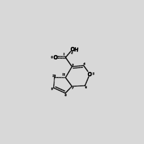 O=C(O)C1=COCC2C=CCC12